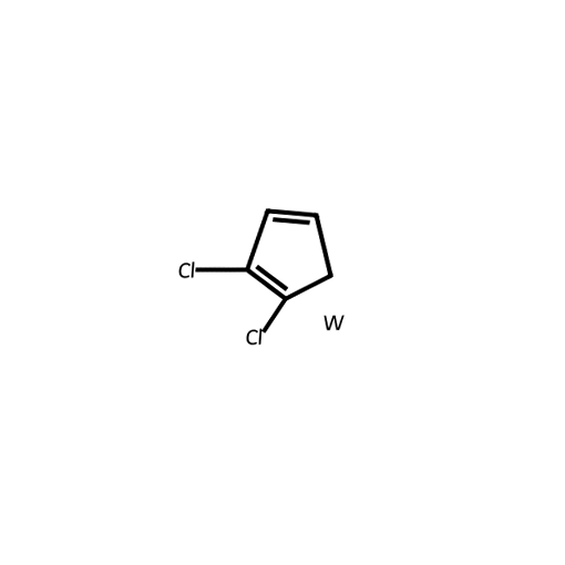 ClC1=C(Cl)CC=C1.[W]